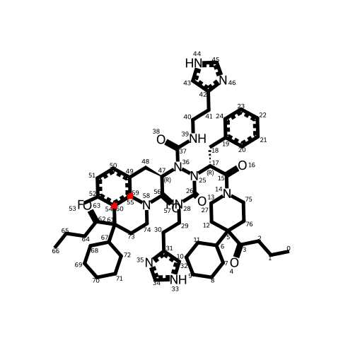 CCCC(=O)C1(C2CCCCC2)CCN(C(=O)[C@@H](Cc2ccccc2)N(C(=O)NCCc2c[nH]cn2)N(C(=O)NCCc2c[nH]cn2)[C@H](Cc2ccc(F)cc2)C(=O)N2CCC(C(=O)CCC)(C3CCCCC3)CC2)CC1